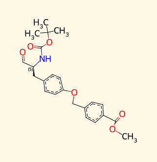 COC(=O)c1ccc(COc2ccc(C[C@@H](C=O)NC(=O)OC(C)(C)C)cc2)cc1